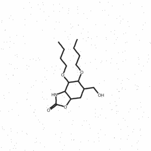 CCCCOC1C(CO)CC2OC(=O)NC2C1OCCCC